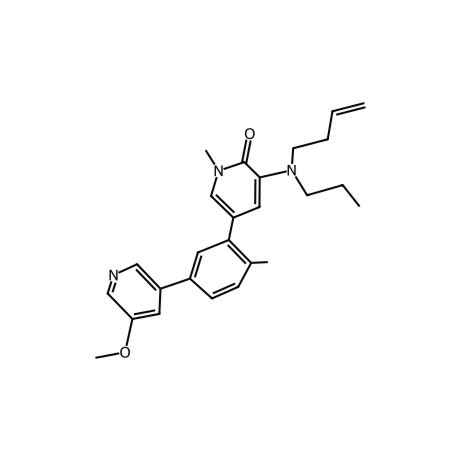 C=CCCN(CCC)c1cc(-c2cc(-c3cncc(OC)c3)ccc2C)cn(C)c1=O